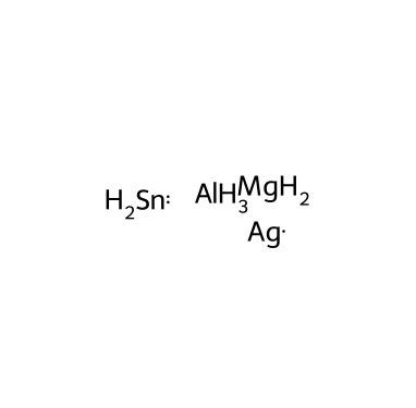 [Ag].[AlH3].[MgH2].[SnH2]